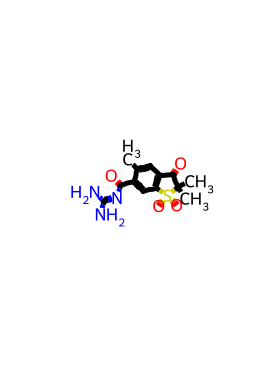 Cc1cc2c(cc1C(=O)N=C(N)N)S(=O)(=O)C(C)(C)C2=O